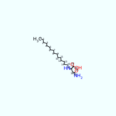 CCCCCCCCCCCCCCCCNC(CC(N)=O)C(=O)O